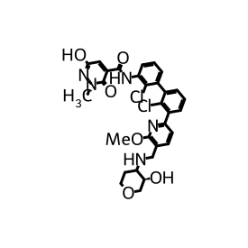 COc1nc(-c2cccc(-c3cccc(NC(=O)c4cc(O)nn(C)c4=O)c3Cl)c2Cl)ccc1CNC1CCOC[C@@H]1O